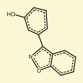 Oc1cccc(-c2noc3ccccc23)c1